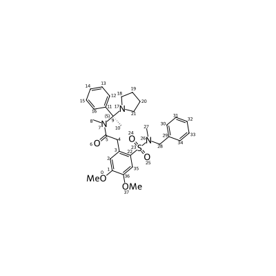 COc1cc(CC(=O)N(C)[C@@](C)(c2ccccc2)N2CCCC2)c(S(=O)(=O)N(C)Cc2ccccc2)cc1OC